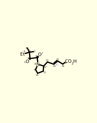 CCC(C)(C)C(=O)C(=O)N1CCCC1C/C=C/CC(=O)O